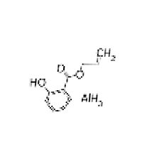 C=CCOC(=O)c1ccccc1O.[AlH3]